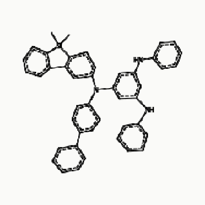 C[Si]1(C)c2ccccc2-c2cc(N(c3ccc(-c4ccccc4)cc3)c3cc(Nc4ccccc4)cc(Nc4ccccc4)c3)ccc21